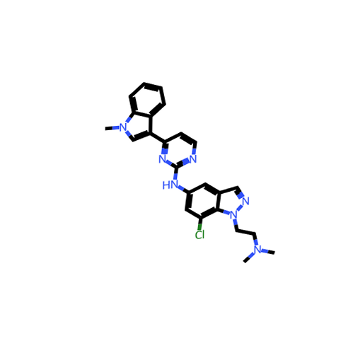 CN(C)CCn1ncc2cc(Nc3nccc(-c4cn(C)c5ccccc45)n3)cc(Cl)c21